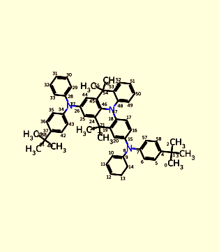 CC(C)(C)c1ccc(N(C2=CC=CCC2)c2ccc3c(c2)C(C)(C)c2cc(N(c4ccccc4)c4ccc(C(C)(C)C)cc4)cc4c2N3c2ccccc2C4(C)C)cc1